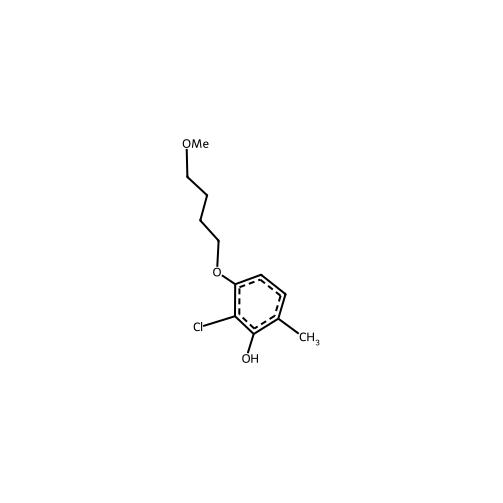 COCCCCOc1ccc(C)c(O)c1Cl